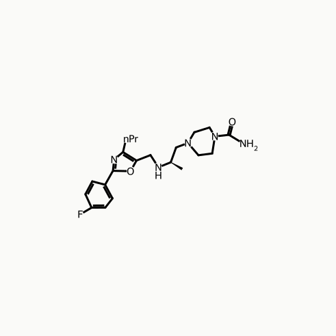 CCCc1nc(-c2ccc(F)cc2)oc1CN[C@H](C)CN1CCN(C(N)=O)CC1